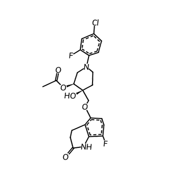 CC(=O)O[C@H]1CN(c2ccc(Cl)cc2F)CC[C@]1(O)COc1ccc(F)c2c1CCC(=O)N2